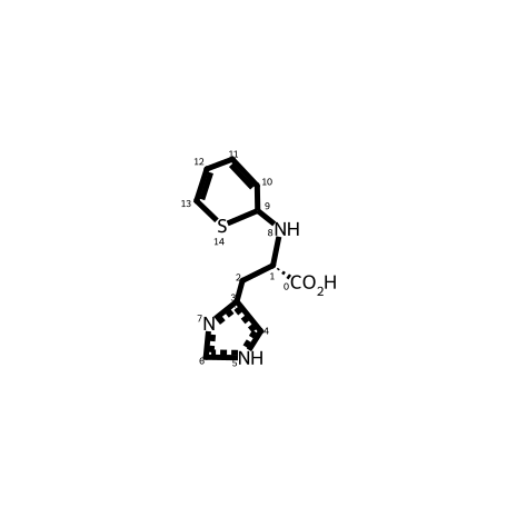 O=C(O)[C@H](Cc1c[nH]cn1)NC1C=CC=CS1